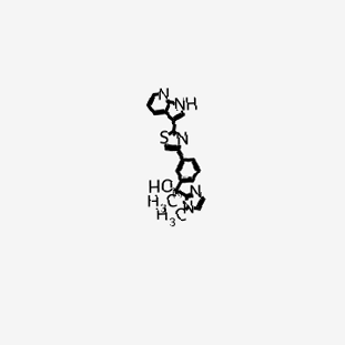 Cn1ccnc1[C@](C)(O)c1cccc(-c2csc(-c3c[nH]c4ncccc34)n2)c1